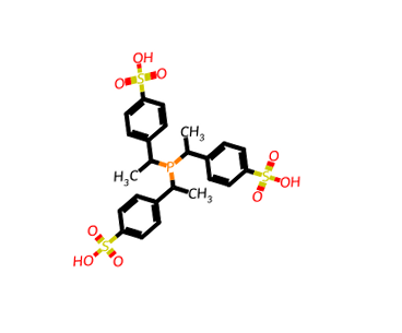 CC(c1ccc(S(=O)(=O)O)cc1)P(C(C)c1ccc(S(=O)(=O)O)cc1)C(C)c1ccc(S(=O)(=O)O)cc1